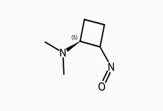 CN(C)[C@H]1CCC1N=O